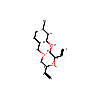 C=CC(COCCCC)OC(C=C)COCCCC